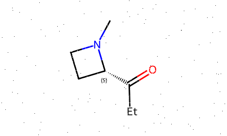 CCC(=O)[C@@H]1CCN1C